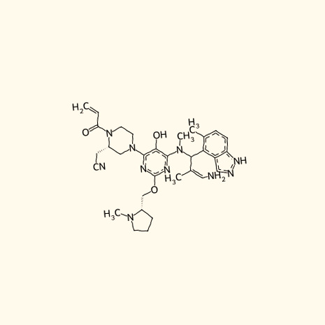 C=CC(=O)N1CCN(c2nc(OC[C@@H]3CCCN3C)nc(N(C)C(/C(C)=C\N)c3c(C)ccc4[nH]ncc34)c2O)C[C@@H]1CC#N